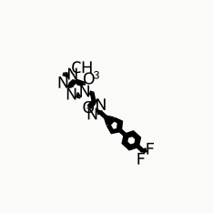 Cn1cnc2ncn(Cc3nc(C4C5C=C(c6ccc(C(F)F)cc6)CC54)no3)c(=O)c21